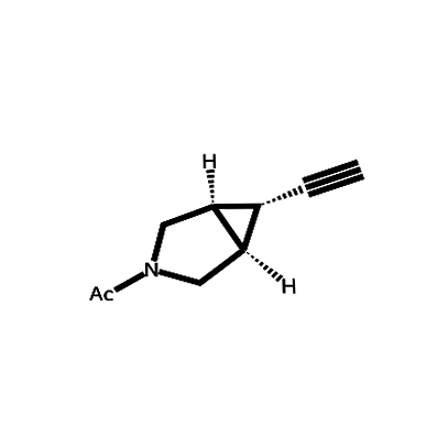 C#C[C@@H]1[C@H]2CN(C(C)=O)C[C@@H]12